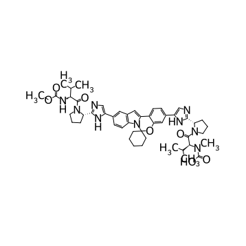 COC(=O)N[C@H](C(=O)N1CCC[C@H]1c1ncc(-c2ccc3c(c2)cc2n3C3(CCCCC3)Oc3cc(-c4cnc([C@@H]5CCCN5C(=O)[C@H](C(C)C)N(C)C(=O)O)[nH]4)ccc3-2)[nH]1)C(C)C